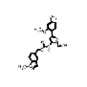 CCn1nc(-c2ccc(C)cc2OC)cc1NC(=O)OCc1ccc2c(cnn2C)c1